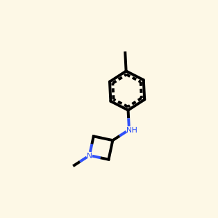 Cc1ccc(NC2CN(C)C2)cc1